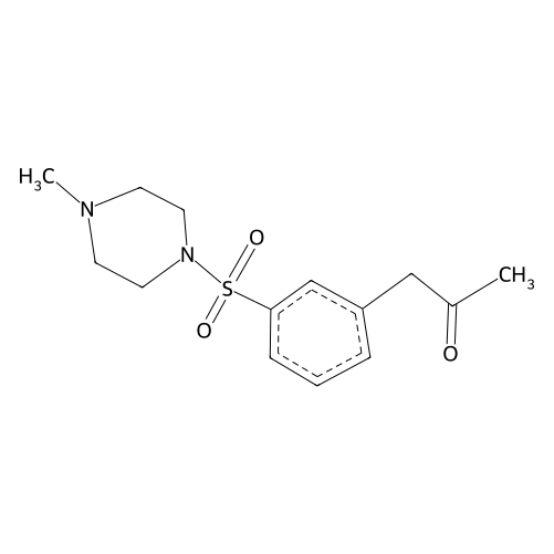 CC(=O)Cc1cccc(S(=O)(=O)N2CCN(C)CC2)c1